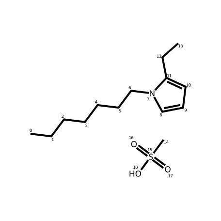 CCCCCCCn1cccc1CC.CS(=O)(=O)O